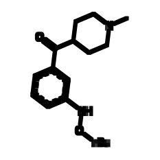 CCCCONc1cccc(C(=O)C2CCN(C)CC2)c1